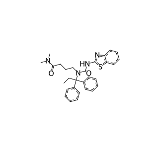 CCC(c1ccccc1)(c1ccccc1)N(CCCC(=O)N(C)C)C(=O)Nc1nc2ccccc2s1